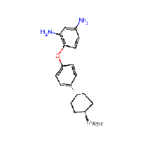 CCCCCCC[C@H]1CC[C@H](c2ccc(Oc3ccc(N)cc3N)cc2)CC1